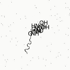 CC/C=C\C/C=C\C/C=C\C/C=C\C/C=C\CCCC(=O)N[C@H](C(=O)NC1=NC(=O)C2N[C@@H]([C@@H](O)[C@H](C)O)CNC2=N1)C(C)C